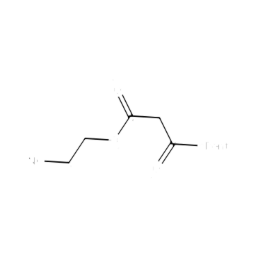 CCCCCC(=O)CC(=O)OCCC#N